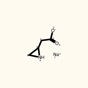 O=C([O-])CC1CN1.[Na+]